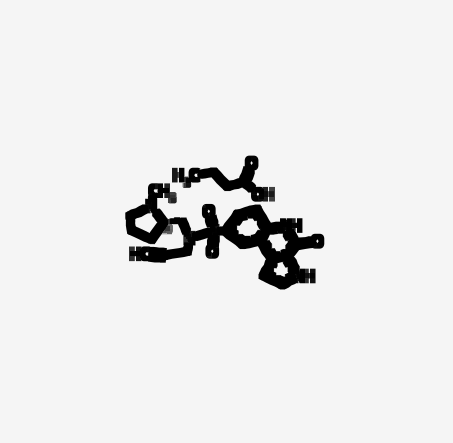 C#CCN(C[C@@H]1CCCN1C)S(=O)(=O)c1ccc2[nH]c(=O)c3[nH]ccc3c2c1.CCCC(=O)O